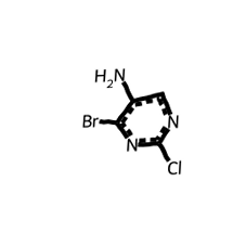 Nc1cnc(Cl)nc1Br